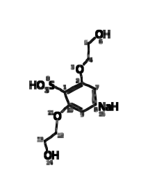 O=S(=O)(O)c1c(OCCO)cccc1OCCO.[NaH]